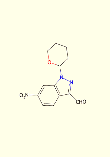 O=Cc1nn(C2CCCCO2)c2cc([N+](=O)[O-])ccc12